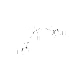 C=CC(=O)OCCOCC(C)(C)COCCOC(=O)C=C